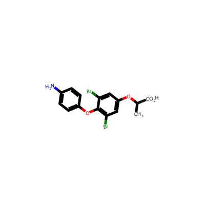 CC(Oc1cc(Br)c(Oc2ccc(N)cc2)c(Br)c1)C(=O)O